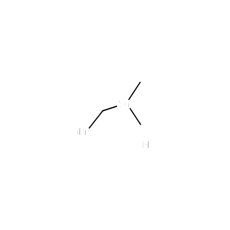 CC(C)[CH2][Sn]([CH3])[CH3].[H-]